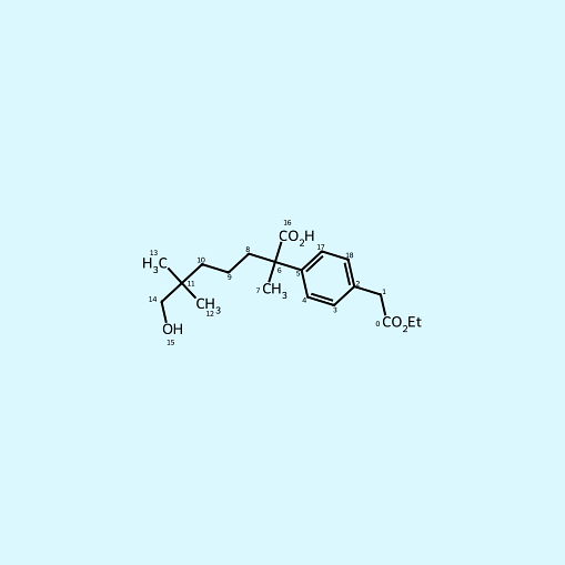 CCOC(=O)Cc1ccc(C(C)(CCCC(C)(C)CO)C(=O)O)cc1